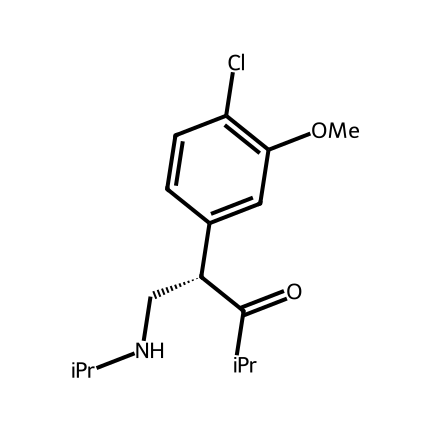 COc1cc([C@@H](CNC(C)C)C(=O)C(C)C)ccc1Cl